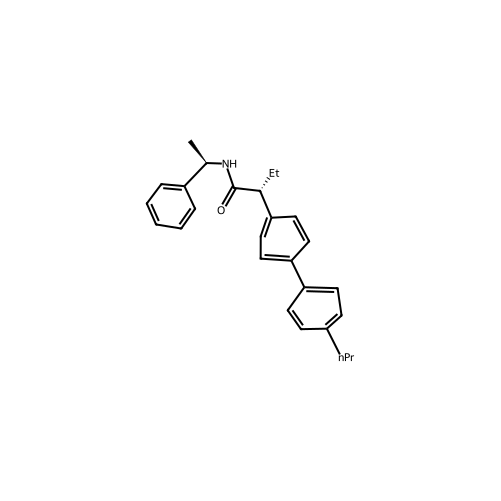 CCCc1ccc(-c2ccc([C@@H](CC)C(=O)N[C@H](C)c3ccccc3)cc2)cc1